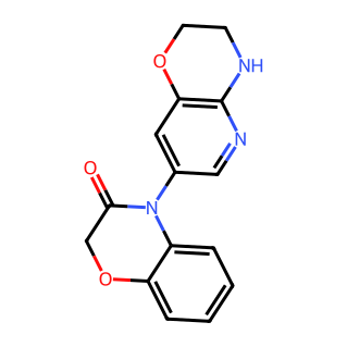 O=C1COc2ccccc2N1c1cnc2c(c1)OCCN2